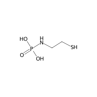 O=P(O)(O)NCCS